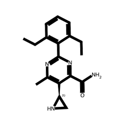 CCc1cccc(CC)c1-c1nc(C)c([C@H]2CN2)c(C(N)=O)n1